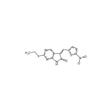 CCSc1ncc2c(n1)NC(=O)C2=Cc1ccc([N+](=O)[O-])s1